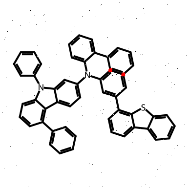 c1ccc(-c2ccccc2N(c2cccc(-c3cccc4c3sc3ccccc34)c2)c2ccc3c4c(-c5ccccc5)cccc4n(-c4ccccc4)c3c2)cc1